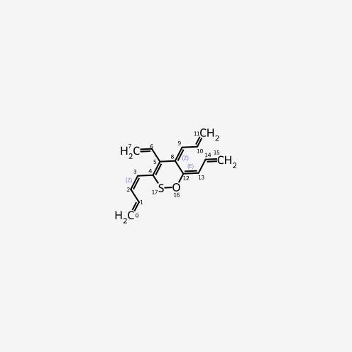 C=C/C=C\C1=C(C=C)C(=C/C=C)/C(=C\C=C)OS1